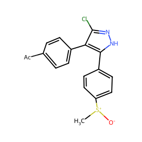 CC(=O)c1ccc(-c2c(Cl)n[nH]c2-c2ccc([S+](C)[O-])cc2)cc1